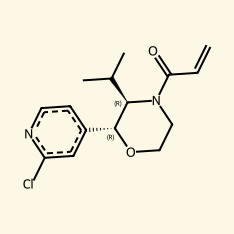 C=CC(=O)N1CCO[C@H](c2ccnc(Cl)c2)[C@H]1C(C)C